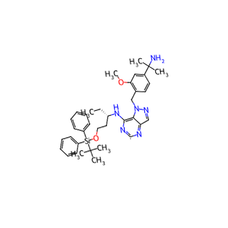 CC[C@@H](CCO[Si](c1ccccc1)(c1ccccc1)C(C)(C)C)Nc1n[c]nc2cnn(Cc3ccc(C(C)(C)N)cc3OC)c12